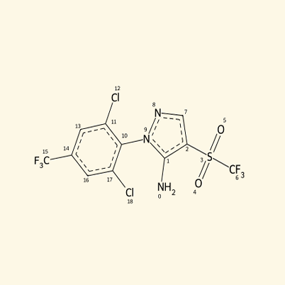 Nc1c(S(=O)(=O)C(F)(F)F)cnn1-c1c(Cl)cc(C(F)(F)F)cc1Cl